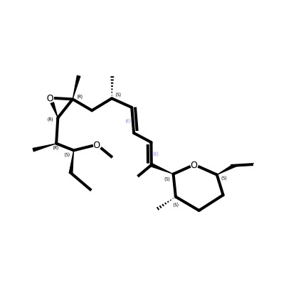 CC[C@H]1CC[C@H](C)[C@@H](/C(C)=C/C=C/[C@@H](C)C[C@@]2(C)O[C@@H]2[C@H](C)[C@H](CC)OC)O1